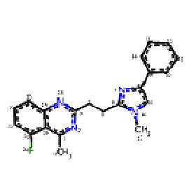 Cc1nc(CCc2nc(-c3ccccc3)cn2C)nc2cccc(F)c12